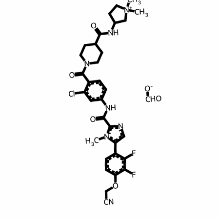 Cn1c(-c2ccc(OCC#N)c(F)c2F)cnc1C(=O)Nc1ccc(C(=O)N2CCC(C(=O)NC3CC[N+](C)(C)C3)CC2)c(Cl)c1.O=C[O-]